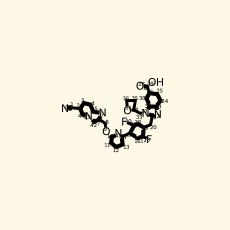 N#Cc1ccc2nc(COc3cccc(-c4cc(F)c(Cc5nc6ccc(C(=O)O)cc6n5CC5CCO5)cc4F)n3)cn2c1